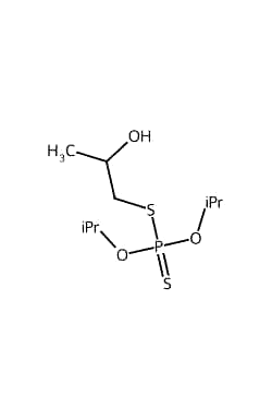 CC(O)CSP(=S)(OC(C)C)OC(C)C